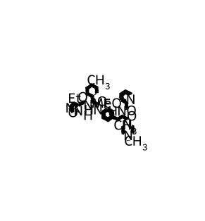 CCc1nonc1C(=O)N[C@H](C(=O)Nc1ccc([C@H](C)[C@@H](NC(=O)c2ncccc2OC)C(=O)N2CCN(C)CC2)cc1F)[C@H]1CC[C@H](C)CC1